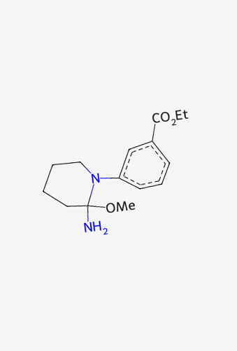 CCOC(=O)c1cccc(N2CCCCC2(N)OC)c1